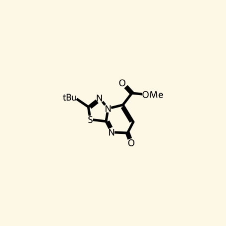 COC(=O)c1cc(=O)nc2sc(C(C)(C)C)nn12